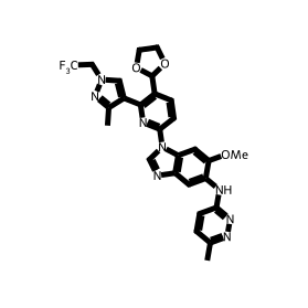 COc1cc2c(cc1Nc1ccc(C)nn1)ncn2-c1ccc(C2OCCO2)c(-c2cn(CC(F)(F)F)nc2C)n1